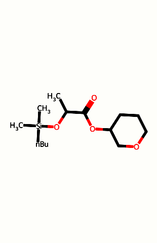 CCCC[Si](C)(C)OC(C)C(=O)OC1CCCOC1